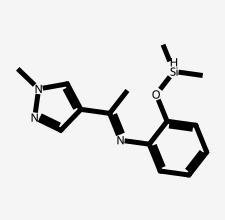 CC(=Nc1ccccc1O[SiH](C)C)c1cnn(C)c1